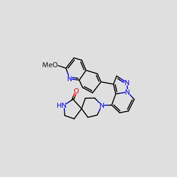 COc1ccc2cc(-c3cnn4cccc(N5CCC6(CCNC6=O)CC5)c34)ccc2n1